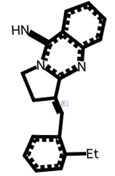 CCc1ccccc1/C=C1\CCn2c1nc1ccccc1c2=N